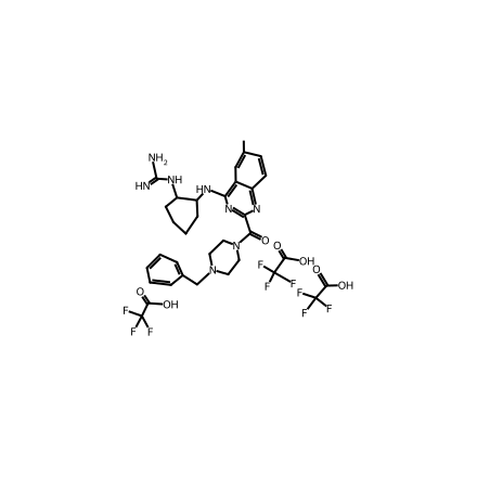 Cc1ccc2nc(C(=O)N3CCN(Cc4ccccc4)CC3)nc(NC3CCCCC3NC(=N)N)c2c1.O=C(O)C(F)(F)F.O=C(O)C(F)(F)F.O=C(O)C(F)(F)F